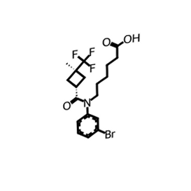 C[C@]1(C(F)(F)F)C[C@H](C(=O)N(CCCCCC(=O)O)c2cccc(Br)c2)C1